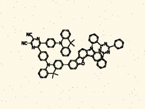 CC1(C)c2ccccc2N(c2ccc(-c3nc(C#N)c(C#N)nc3-c3ccc(N4c5ccccc5C(C)(C)c5cc(-c6ccc7oc8c(ccc9c8c8ccccc8n9-c8ccccc8-c8nc(-c9ccccc9)nc(-c9ccccc9)n8)c7c6)ccc54)cc3)cc2)c2ccccc21